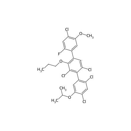 CCCOc1c(-c2cc(OC)c(Cl)cc2F)[c]c(Cl)c(-c2cc(OC(C)C)c(Cl)cc2Cl)c1Cl